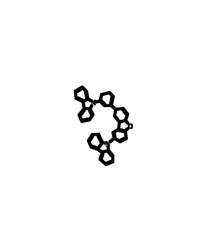 C1=CC2Oc3ccc(-n4c5ccccc5c5ccccc54)cc3C2CC1C1=CCCC(n2c3ccccc3c3ccccc32)=C1